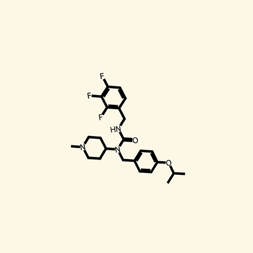 CC(C)Oc1ccc(CN(C(=O)NCc2ccc(F)c(F)c2F)C2CCN(C)CC2)cc1